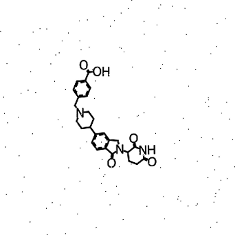 O=C1CCC(N2Cc3cc(C4CCN(Cc5ccc(C(=O)O)cc5)CC4)ccc3C2=O)C(=O)N1